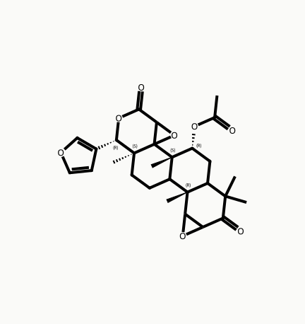 CC(=O)O[C@@H]1CC2C(C)(C)C(=O)C3OC3[C@]2(C)C2CC[C@@]3(C)[C@H](c4ccoc4)OC(=O)C4OC43[C@@]21C